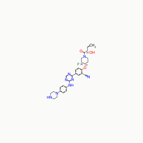 C=C[C@H](O)C(=O)N1CC[C@H](Oc2ccc(-c3ncnc(Nc4ccc(N5CCNCC5)cc4)n3)cc2C#N)[C@H](F)C1